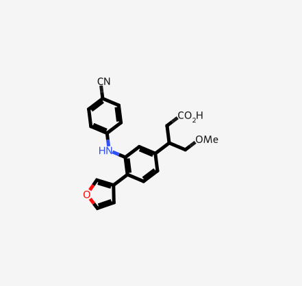 COCC(CC(=O)O)c1ccc(-c2ccoc2)c(Nc2ccc(C#N)cc2)c1